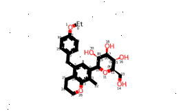 CCOc1ccc(Cc2cc(C3O[C@H](CO)[C@@H](O)[C@H](O)[C@H]3O)c(C)c3c2CCCO3)cc1